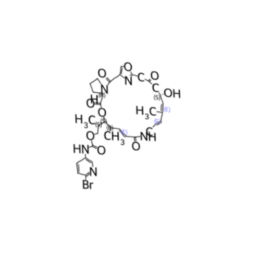 CC1=C\[C@@H](O)CC(=O)Cc2nc(co2)C(=O)N2CCC[C@@H]2C(=O)O[C@H]([C@@H](C)COC(=O)Nc2ccc(Br)nc2)[C@H](C)/C=C/C(=O)NC\C=C\1